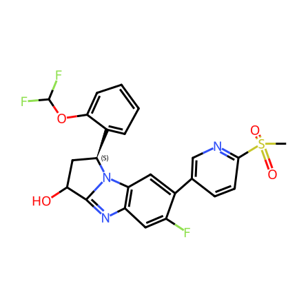 CS(=O)(=O)c1ccc(-c2cc3c(cc2F)nc2n3[C@H](c3ccccc3OC(F)F)CC2O)cn1